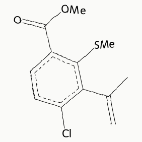 C=C(C)c1c(Cl)ccc(C(=O)OC)c1SC